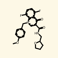 COc1ccc(Cn2cc(C(=O)NCC3CCCO3)c(=O)c3c(F)ccc(F)c32)cc1